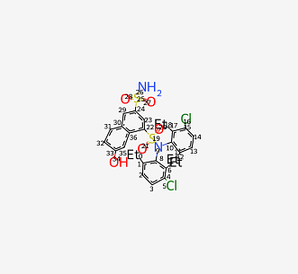 CCc1ccc(Cl)c(CC)c1N(c1c(CC)ccc(Cl)c1CC)S(=O)(=O)c1cc(S(N)(=O)=O)cc2ccc(O)cc12